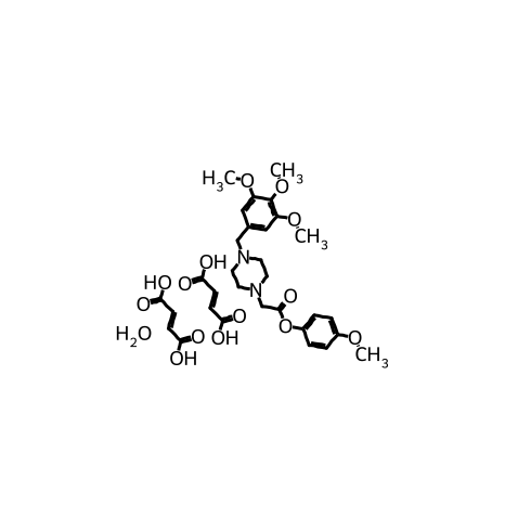 COc1ccc(OC(=O)CN2CCN(Cc3cc(OC)c(OC)c(OC)c3)CC2)cc1.O.O=C(O)/C=C/C(=O)O.O=C(O)/C=C/C(=O)O